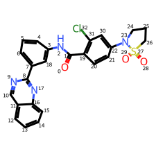 O=C(Nc1cccc(-c2ncc3ccccc3n2)c1)c1ccc(N2CCCS2(=O)=O)cc1Cl